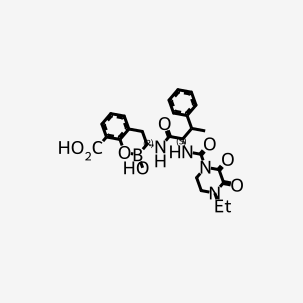 CCN1CCN(C(=O)N[C@H](C(=O)N[C@H]2Cc3cccc(C(=O)O)c3OB2O)C(C)c2ccccc2)C(=O)C1=O